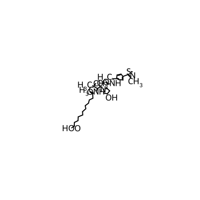 Cc1ncsc1-c1ccc([C@H](C)NC(=O)[C@@H]2C[C@@H](O)CN2C(=O)C(NC(=O)CCCCCCCCCCC(=O)O)C(C)(C)C)cc1